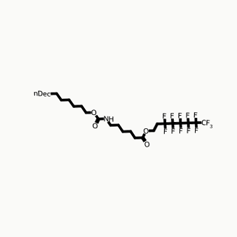 CCCCCCCCCCCCCCCCOC(=O)NCCCCCC(=O)OCCC(F)(F)C(F)(F)C(F)(F)C(F)(F)C(F)(F)C(F)(F)F